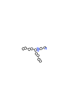 c1cncc(-c2ccc(-n3nc4cc(-c5ccc6cc(-c7ccc8ccccc8c7)ccc6c5)cc(-c5ccc6cc(-c7ccc8ccccc8c7)ccc6c5)c4n3)cc2)c1